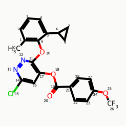 Cc1cccc(C2CC2)c1Oc1nnc(Cl)cc1OC(=O)c1ccc(OC(F)(F)F)cc1